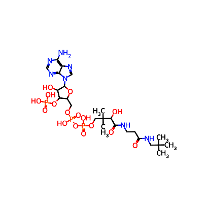 CC(C)(C)CNC(=O)CCNC(=O)C(O)C(C)(C)COP(=O)(O)OP(=O)(O)OCC1OC(n2cnc3c(N)ncnc32)C(O)C1OP(=O)(O)O